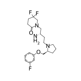 N[C@@H](CCN1CCC[C@H]1COc1cccc(F)c1)CN1CC(F)(F)CCC1=O